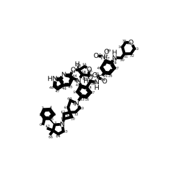 Cc1ccccc1[C@H]1N(C2CC3(CCN(c4ccc(C(=O)NS(=O)(=O)c5ccc(NCC6CCOCC6)c([N+](=O)[O-])c5)c(N5c6cc7cc[nH]c7nc6O[C@@H]6COC[C@H]65)c4)CC3)C2)CCC1(C)C